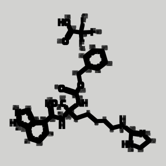 O=C(N[C@](CCCCCNC1=NCCN1)(NC(=O)c1cccc2[nH]ncc12)C(=O)O)OCc1ccccc1.O=C(O)C(F)(F)F